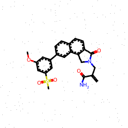 C=C(CN1Cc2c(ccc3ccc(-c4cc(OC)cc(S(C)(=O)=O)c4)cc23)C1=O)C(N)=O